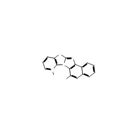 Cc1cc2ccccc2c2nc3sc4ccc[n+](C)c4n3c12